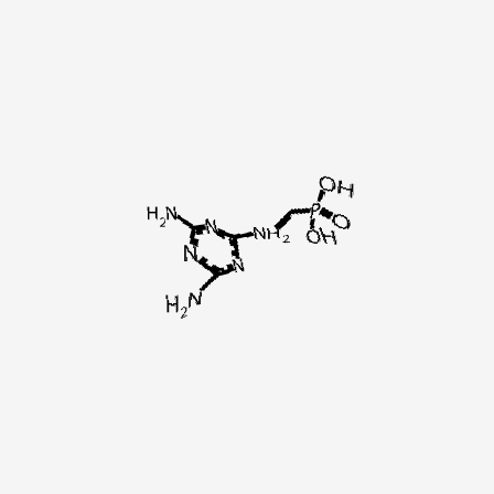 C=CP(=O)(O)O.Nc1nc(N)nc(N)n1